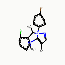 CC(c1ccccc1Cl)[N+]1(c2ccc(Br)cc2)N=CC(C#N)=C1NC(=O)O